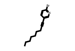 CCCCCCCC#Cc1ccc(Br)nc1